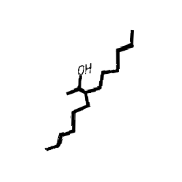 CCCCCCC(CCCCCC)C(C)O